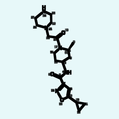 C[C@H]1CC(NC(=O)c2cc(C3CC3)on2)CCN1C(=O)CN1CCNCC1